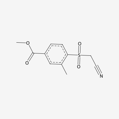 COC(=O)c1ccc(S(=O)(=O)CC#N)c(C)c1